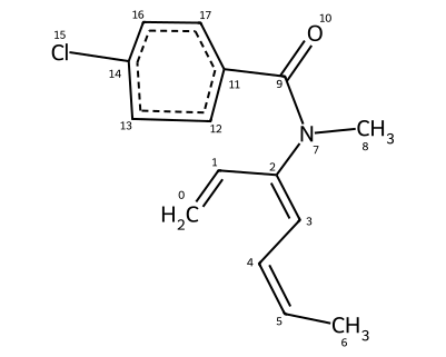 C=C/C(=C\C=C/C)N(C)C(=O)c1ccc(Cl)cc1